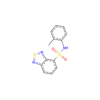 Cc1ccccc1NS(=O)(=O)c1cccc2nsnc12